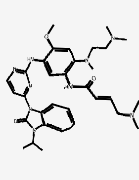 COc1cc(N(C)CCN(C)C)c(NC(=O)/C=C/CN(C)C)cc1Nc1nccc(-n2c(=O)n(C(C)C)c3ccccc32)n1